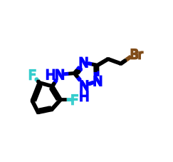 Fc1cccc(F)c1Nc1nc(CCBr)n[nH]1